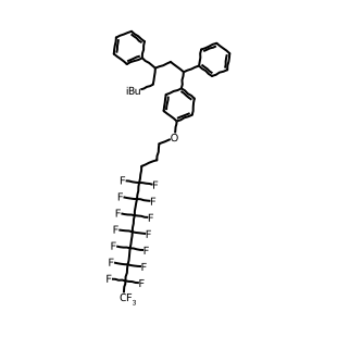 CCC(C)CC(CC(c1ccccc1)c1ccc(OCCCC(F)(F)C(F)(F)C(F)(F)C(F)(F)C(F)(F)C(F)(F)C(F)(F)C(F)(F)F)cc1)c1ccccc1